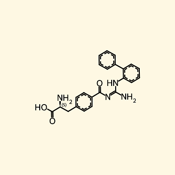 NC(=NC(=O)c1ccc(C[C@H](N)C(=O)O)cc1)Nc1ccccc1-c1ccccc1